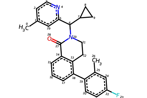 Cc1ccnc(C(C2CC2)N2CCc3c(cccc3-c3ccc(F)cc3C)C2=O)c1